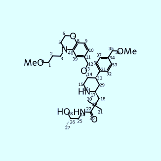 COCCCN1CCOc2ccc(CO[C@H]3CN[C@H](CC(C)(C)C(=O)NC[C@H](C)O)C[C@@H]3c3ccc(COC)cc3)cc21